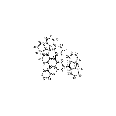 c1ccc(B2c3ccc(-n4c5ccccc5c5ccccc54)cc3N3c4ccccc4C(c4ccccc4)(c4ccccc4)c4cccc2c43)cc1